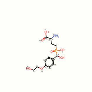 N[C@@H](CCP(=O)(O)C(O)c1ccc(OCCO)cc1)C(=O)O